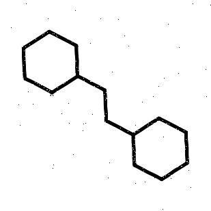 [C]1CCCCC1CCC1CCCCC1